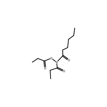 CCCCCC(=O)N(OC(=O)CC)C(=O)CC